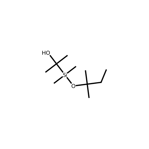 CCC(C)(C)O[Si](C)(C)C(C)(C)O